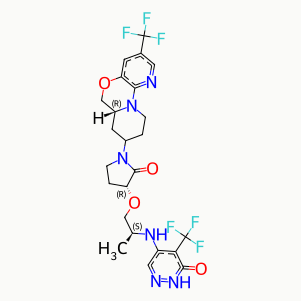 C[C@@H](CO[C@@H]1CCN(C2CCN3c4ncc(C(F)(F)F)cc4OC[C@H]3C2)C1=O)Nc1cn[nH]c(=O)c1C(F)(F)F